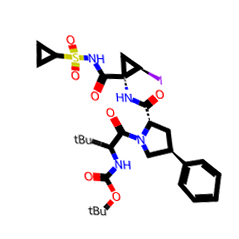 CC(C)(C)OC(=O)NC(C(=O)N1C[C@H](c2ccccc2)C[C@H]1C(=O)N[C@]1(C(=O)NS(=O)(=O)C2CC2)C[C@H]1I)C(C)(C)C